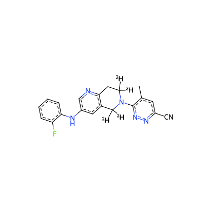 [2H]C1([2H])Cc2ncc(Nc3ccccc3F)cc2C([2H])([2H])N1c1nnc(C#N)cc1C